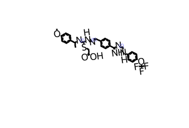 COc1ccc(C(C)/N=C(/N/N=C/c2ccc(C(=N)/N=C\Nc3ccc(OC(F)(F)F)cc3)cc2)SCC(=O)O)cc1